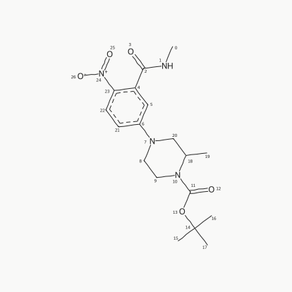 CNC(=O)c1cc(N2CCN(C(=O)OC(C)(C)C)C(C)C2)ccc1[N+](=O)[O-]